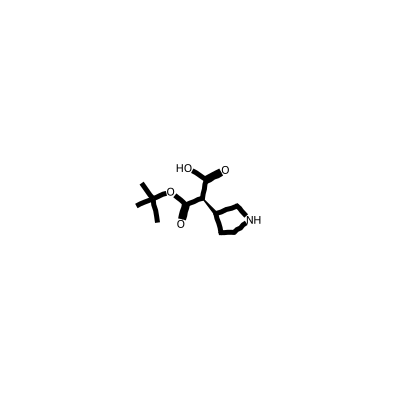 CC(C)(C)OC(=O)[C@@H](C(=O)O)C1CCNC1